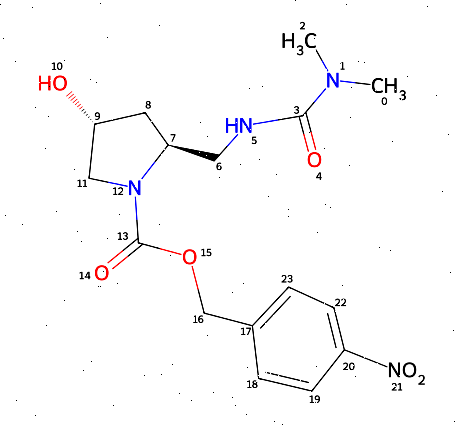 CN(C)C(=O)NC[C@@H]1C[C@@H](O)CN1C(=O)OCc1ccc([N+](=O)[O-])cc1